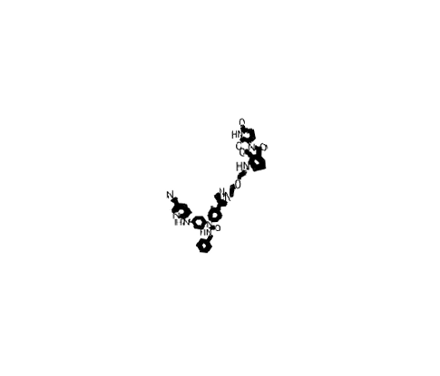 N#Cc1ccc(N[C@H]2CC[C@H](N(C(=O)NCc3ccccc3)c3ccc(-c4cnn(CCOCCNc5cccc6c5C(=O)N(C5CCC(=O)NC5=O)C6=O)c4)cc3)CC2)nc1